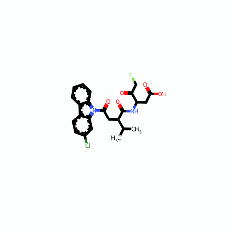 CC(C)C(CC(=O)n1c2ccccc2c2ccc(Cl)cc21)C(=O)NC(CC(=O)O)C(=O)CF